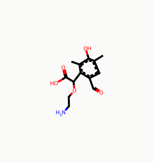 Cc1cc(C=O)c(C(OCCN)C(=O)O)c(C)c1O